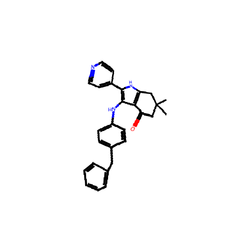 CC1(C)CC(=O)c2c([nH]c(-c3ccncc3)c2Nc2ccc(Cc3ccccc3)cc2)C1